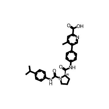 Cc1cc(C(=O)O)ncc1-c1ccc(NC(=O)[C@H]2CCCN2C(=O)Nc2ccc(C(C)C)cc2)cc1